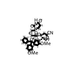 COc1ccc(C(OC[C@]2(COP(CC(=O)C#N)N(C(C)C)C(C)C)COC[C@H](n3ccc(=O)[nH]c3=O)O2)(c2ccccc2)c2ccc(OC)cc2)cc1